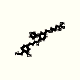 CC(C)Cc1ccc(CCCNc2ccc(CNCCCP(=O)(O)O)cc2-c2ccoc2)cc1C#N